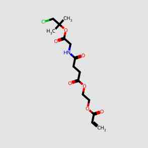 C=CC(=O)OCCOC(=O)CCC(=O)NCC(=O)OC(C)(C)CCl